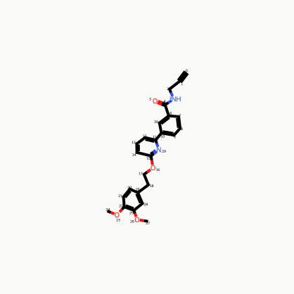 C#CCNC(=O)c1cccc(-c2cccc(OCCc3ccc(OC)c(OC)c3)n2)c1